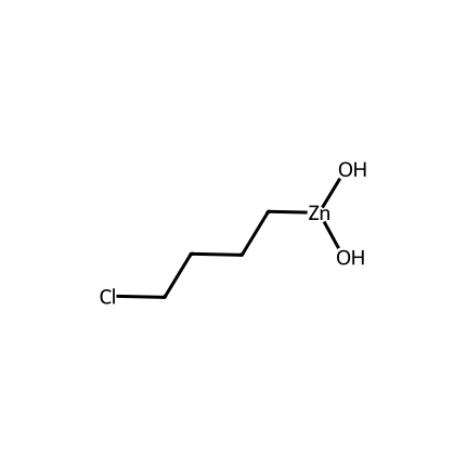 [OH][Zn]([OH])[CH2]CCCCl